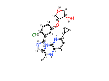 Cc1nc2ccc(C3CC3)nc2n2c(-c3cc(OC4COCC4O)ccc3Cl)ncc12